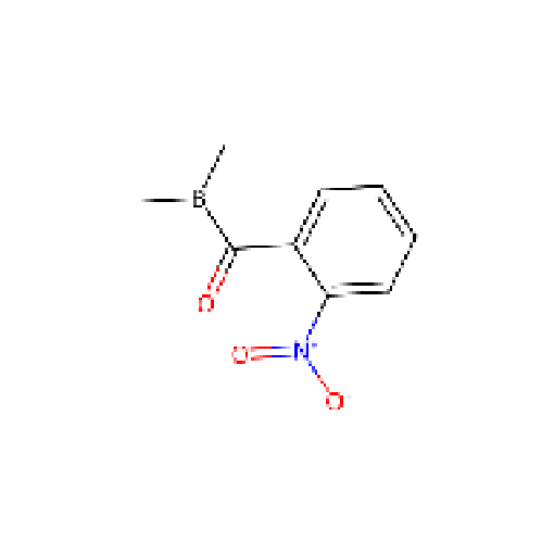 CB(C)C(=O)c1ccccc1[N+](=O)[O-]